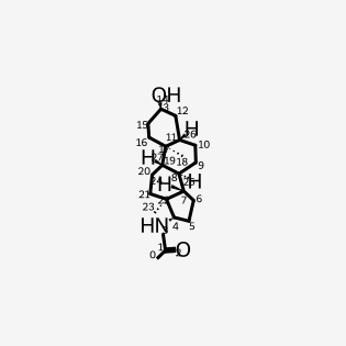 CC(=O)N[C@H]1CC[C@H]2[C@@H]3CC[C@H]4C[C@H](O)CC[C@]4(C)[C@H]3CC[C@]12C